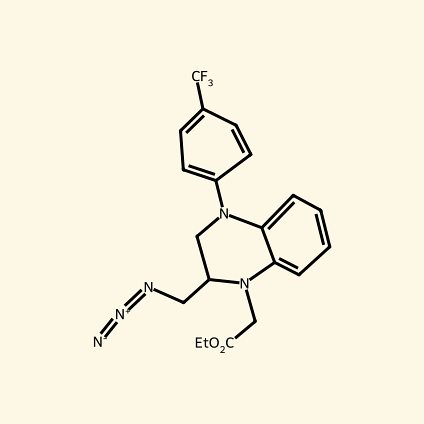 CCOC(=O)CN1c2ccccc2N(c2ccc(C(F)(F)F)cc2)CC1CN=[N+]=[N-]